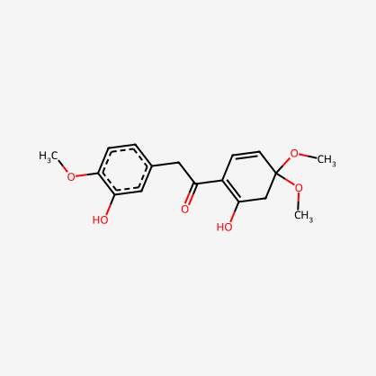 COc1ccc(CC(=O)C2=C(O)CC(OC)(OC)C=C2)cc1O